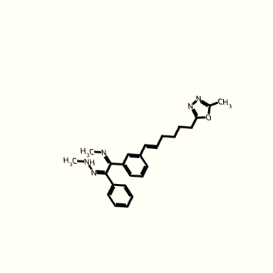 C/N=C(\C(=N/NC)c1ccccc1)c1cccc(/C=C/CCCCc2nnc(C)o2)c1